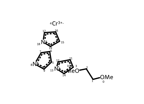 COCCOC.[Cr+3].c1cc[n-]c1.c1cc[n-]c1.c1cc[n-]c1